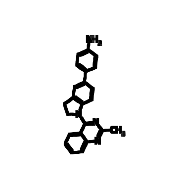 Cc1nc(N2CCc3cc(-c4ccc(N)cc4)ccc32)c2ccccc2n1